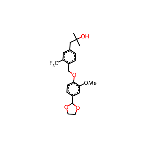 COc1cc(C2OCCO2)ccc1OCc1ccc(CC(C)(C)O)cc1C(F)(F)F